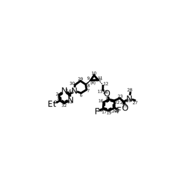 CCc1cnc(N2CCC([C@H]3C[C@@H]3CCOc3cc(F)cc(F)c3CC(=O)N(C)C)CC2)nc1